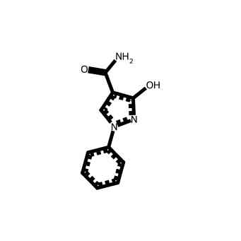 NC(=O)c1cn(-c2ccccc2)nc1O